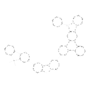 CC1(C)c2ccccc2-c2ccc(-c3ccc4oc5ccc(-c6ccc7c(c6)c6ccccc6c6cc8c9ccccc9n(-c9ccccc9)c8cc76)cc5c4c3)cc21